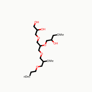 CCCCCCCCCCCCOCC(COCC(COCC(O)CO)OCC(O)COC)OC